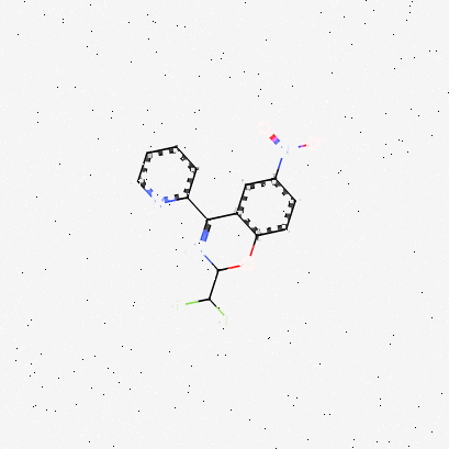 O=[N+]([O-])c1ccc2c(c1)C(c1ccccn1)=NC(C(F)F)O2